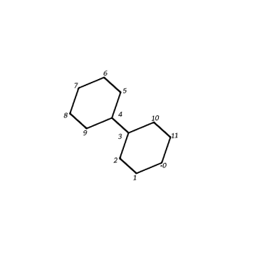 [CH]1CCC(C2CCCCC2)CC1